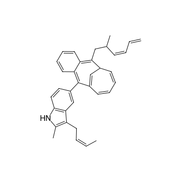 C=C/C=C\C(C)CC1=c2ccccc2=C(c2ccc3[nH]c(C)c(C/C=C\C)c3c2)C2=CC1C=CC=C2